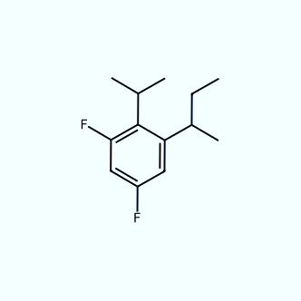 CCC(C)c1cc(F)cc(F)c1C(C)C